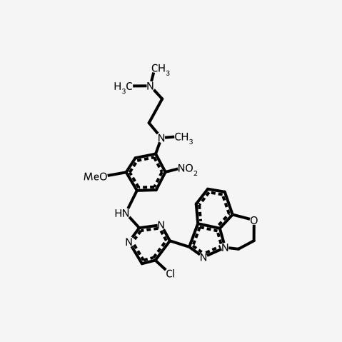 COc1cc(N(C)CCN(C)C)c([N+](=O)[O-])cc1Nc1ncc(Cl)c(-c2nn3c4c(cccc24)OCC3)n1